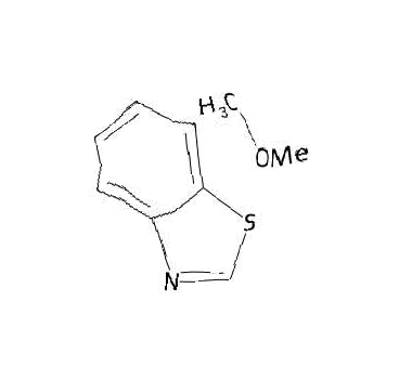 COC.c1ccc2scnc2c1